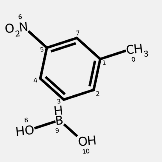 Cc1cccc([N+](=O)[O-])c1.OBO